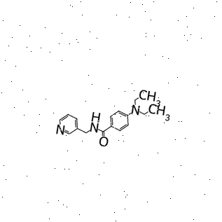 CCN(CC)c1ccc(C(=O)NCc2cccnc2)cc1